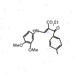 CCOC(=O)/C(=C\Nc1ccc(OC)c(OC)c1)C(=O)c1ccc(C)cc1